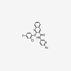 CC(=O)c1ccc(NC(=O)c2cc3ccccc3nc2Oc2ccc(F)cc2Cl)cn1